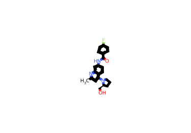 Cc1cc(N2CCC[C@H]2CO)c2ccc(NC(=O)c3ccc(F)cc3)cc2n1